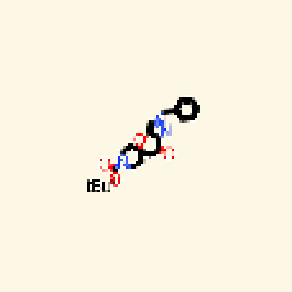 CC(C)(C)OC(=O)N1CCC2(CC1)CC(=O)c1nn(Cc3ccccc3)cc1O2